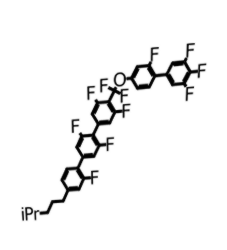 CC(C)CCCc1ccc(-c2cc(F)c(-c3cc(F)c(C(F)(F)Oc4ccc(-c5cc(F)c(F)c(F)c5)c(F)c4)c(F)c3)c(F)c2)c(F)c1